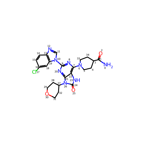 NC(=O)C1CCN(c2nc(-n3cnc4ccc(Cl)cc43)nc3c2[nH]c(=O)n3C2CCOCC2)CC1